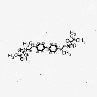 CC(C)S(=O)(=O)NC[C@H](C)c1ccc(-c2ccc([C@@H](C)CNS(=O)(=O)C(C)C)cc2)cc1